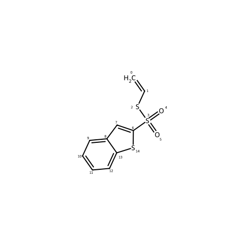 C=CSS(=O)(=O)c1cc2ccccc2s1